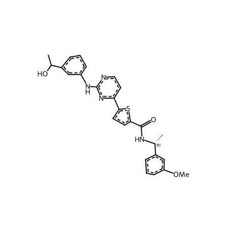 COc1cccc([C@@H](C)NC(=O)c2ccc(-c3ccnc(Nc4cccc(C(C)O)c4)n3)s2)c1